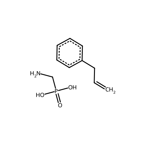 C=CCc1ccccc1.NCP(=O)(O)O